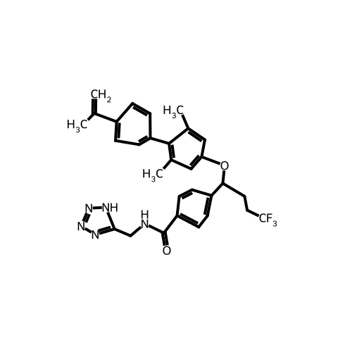 C=C(C)c1ccc(-c2c(C)cc(OC(CCC(F)(F)F)c3ccc(C(=O)NCc4nnn[nH]4)cc3)cc2C)cc1